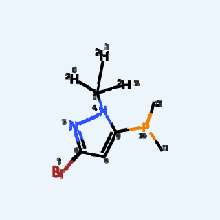 [2H]C([2H])([2H])n1nc(Br)cc1P(C)C